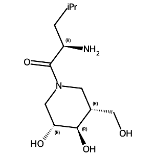 CC(C)C[C@@H](N)C(=O)N1C[C@H](CO)[C@@H](O)[C@H](O)C1